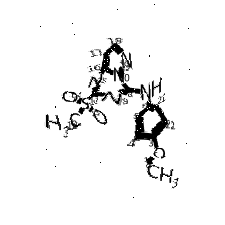 CCOc1ccc(Nc2nc(S(C)(=O)=O)nc3ccnn23)cc1